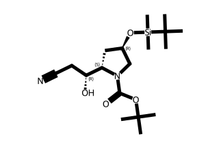 CC(C)(C)OC(=O)N1C[C@H](O[Si](C)(C)C(C)(C)C)C[C@H]1[C@H](O)CC#N